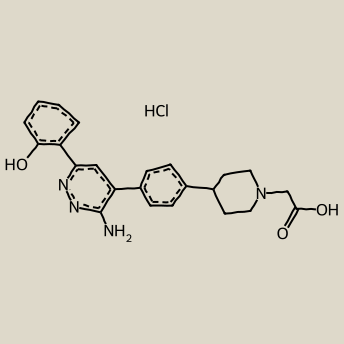 Cl.Nc1nnc(-c2ccccc2O)cc1-c1ccc(C2CCN(CC(=O)O)CC2)cc1